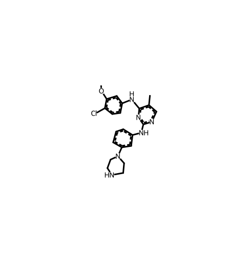 COc1cc(Nc2nc(Nc3cccc(N4CCNCC4)c3)ncc2C)ccc1Cl